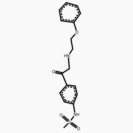 CS(=O)(=O)Nc1ccc(C(=O)CNCCOc2ccccc2)cc1